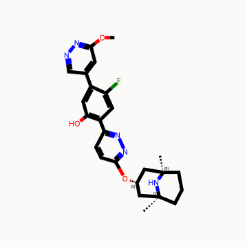 COc1cc(-c2cc(O)c(-c3ccc(O[C@H]4C[C@]5(C)CCC[C@](C)(C4)N5)nn3)cc2F)cnn1